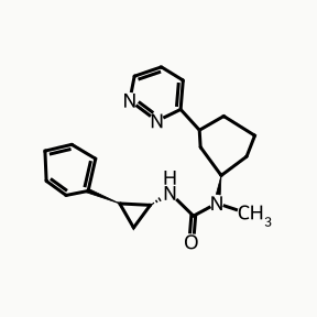 CN(C(=O)N[C@@H]1C[C@H]1c1ccccc1)[C@@H]1CCCC(c2cccnn2)C1